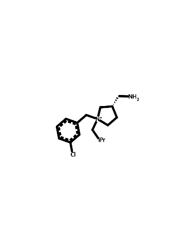 CC(C)C[N+]1(Cc2cccc(Cl)c2)CC[C@@H](CN)C1